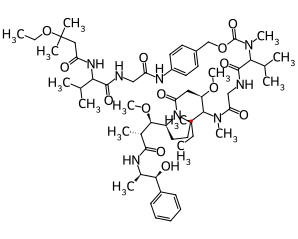 CCOC(C)(C)CC(=O)NC(C(=O)NCC(=O)Nc1ccc(COC(=O)N(C)C(C(=O)NCC(=O)N(C)C(C(C)CC)[C@@H](CC(=O)N2CCC[C@H]2[C@H](OC)[C@@H](C)C(=O)N[C@H](C)[C@@H](O)c2ccccc2)OC)C(C)C)cc1)C(C)C